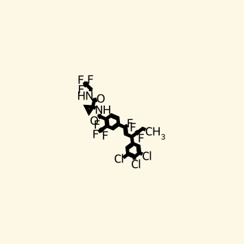 CCC(F)(F)C(C=C(F)c1ccc(C(=O)NC2(C(=O)NCC(F)(F)F)CC2)c(C(F)(F)F)c1)c1cc(Cl)c(Cl)c(Cl)c1